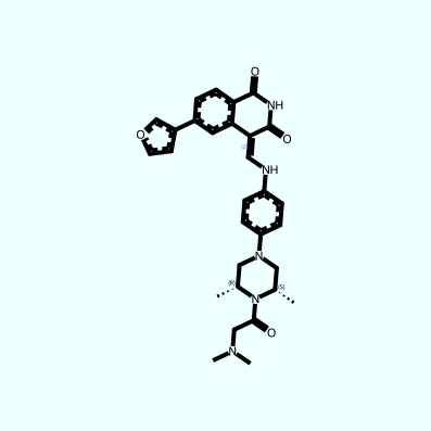 C[C@@H]1CN(c2ccc(N/C=C3\C(=O)NC(=O)c4ccc(-c5ccoc5)cc43)cc2)C[C@H](C)N1C(=O)CN(C)C